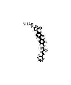 CC(=O)NC[C@H]1CN(c2ccc(-c3ccc(CNC(=O)/C=C/c4cncnc4)cc3)c(F)c2)C(=O)O1